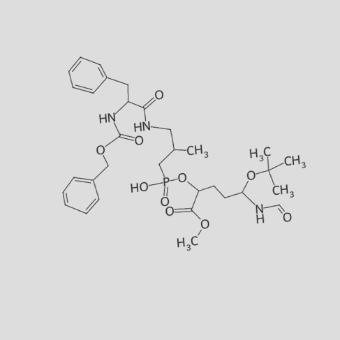 COC(=O)C(CCC(NC=O)OC(C)(C)C)OP(=O)(O)CC(C)CNC(=O)C(Cc1ccccc1)NC(=O)OCc1ccccc1